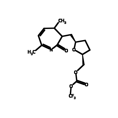 CC1=NC(=O)C(C[C@H]2CC[C@@H](COC(=O)OC(F)(F)F)O2)C(C)C=C1